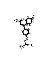 CC(C)COc1ccc(/C(=C/C(=O)O)c2ccc(Cl)cc2)cc1